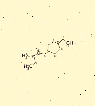 C=CC(=C)OCC1CCC(CO)CC1